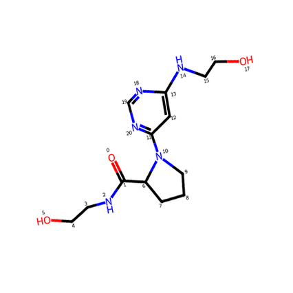 O=C(NCCO)C1CCCN1c1cc(NCCO)ncn1